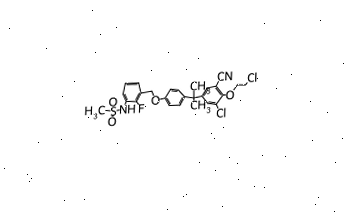 CC(C)(c1ccc(OCc2cccc(NS(C)(=O)=O)c2F)cc1)c1cc(Cl)c(OCCCl)c(C#N)c1